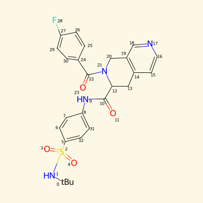 CC(C)(C)NS(=O)(=O)c1ccc(NC(=O)C2Cc3ccncc3CN2C(=O)c2ccc(F)cc2)cc1